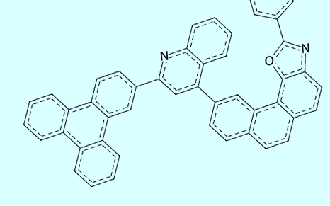 c1ccc(-c2nc3ccc4ccc5ccc(-c6cc(-c7ccc8c9ccccc9c9ccccc9c8c7)nc7ccccc67)cc5c4c3o2)cc1